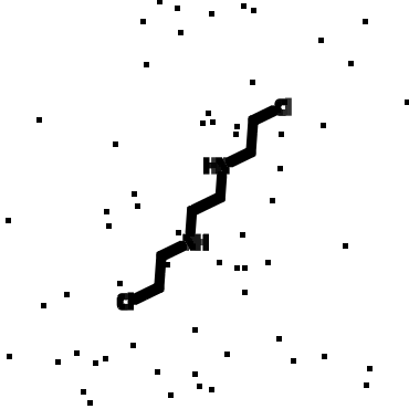 ClCCNCCNCCCl